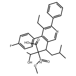 CCc1c(-c2ccccc2)ncc(C(CC(C)C)C(C(=O)O)(C(C)O)[PH](=O)OC)c1-c1ccc(F)cc1